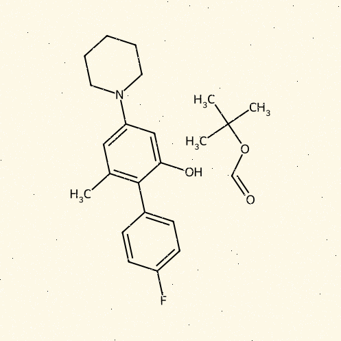 CC(C)(C)OC=O.Cc1cc(N2CCCCC2)cc(O)c1-c1ccc(F)cc1